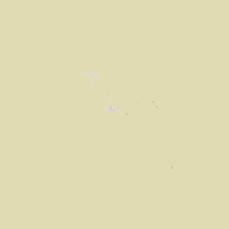 CC(C)(C)NCC(=O)NC(CCCC(=O)O)C(=O)O